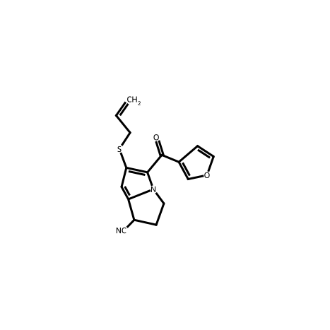 C=CCSc1cc2n(c1C(=O)c1ccoc1)CCC2C#N